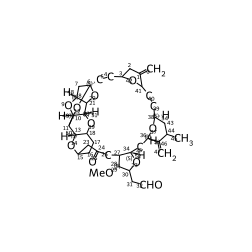 C=C1CC2CC[C@@]34C[C@H]5O[C@H]6C(O3)[C@H]3OC(CCC3O[C@H]6C5O4)CC(=O)CC3[C@@H](OC)C(CC=O)O[C@H]3C[C@H]3O[C@@H](CCC1O2)CC(C)C3=C